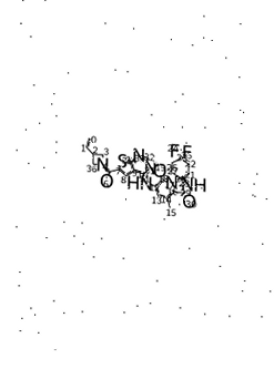 C=CC1CN(C(=O)c2cc3c(Nc4cc(C)c5n(c4=O)C4(CCC(F)(F)CC4)NC5=O)ncnc3s2)C1